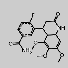 COC1=CC2NC(=O)CC(c3cc(C(N)=O)ccc3F)C2C(OC)=C1OC